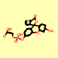 O=C(O)COP(=O)(O)Oc1ccc2c(c1)Oc1cc(O)ccc1C21OC(=O)c2ccccc21